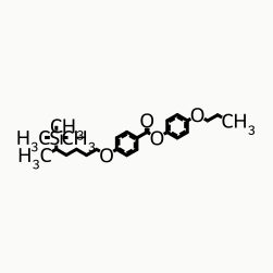 CCCOc1ccc(OC(=O)c2ccc(OCCCCC(C)[Si](C)(C)C)cc2)cc1